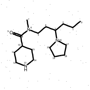 CCCC(CCN(C)C(=O)C1CCNCC1)N1CCCC1